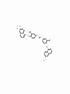 Nc1ccc2cc(S(=O)(=O)O)cc(O)c2c1N=Nc1ccc(NC(=O)Nc2ccc(N=Nc3c(N)ccc4cc(S(=O)(=O)O)cc(O)c34)c(C(=O)O)c2)cc1C(=O)O